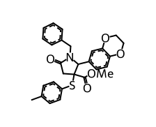 COC(=O)C1(Sc2ccc(C)cc2)CC(=O)N(Cc2ccccc2)C1c1ccc2c(c1)OCCO2